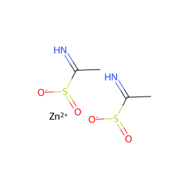 CC(=N)S(=O)[O-].CC(=N)S(=O)[O-].[Zn+2]